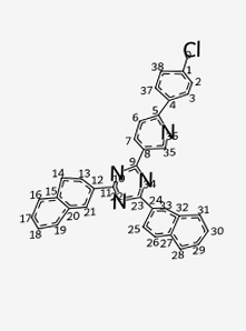 Clc1ccc(-c2ccc(-c3nc(-c4ccc5ccccc5c4)nc(-c4ccc5ccccc5c4)n3)cn2)cc1